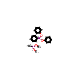 CCCCP(OCC)OCC.c1ccc(OP(Oc2ccccc2)c2ccccc2)cc1